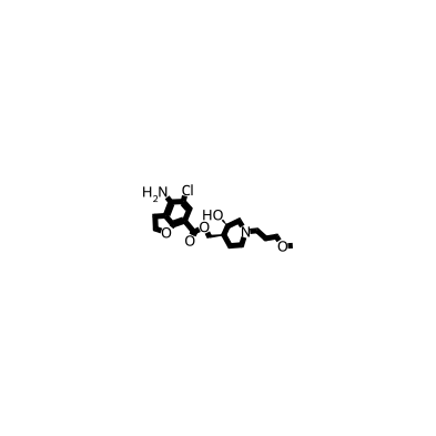 COCCCN1CC[C@@H](COC(=O)c2cc(Cl)c(N)c3c2OCC3)[C@H](O)C1